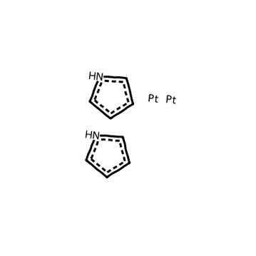 [Pt].[Pt].c1cc[nH]c1.c1cc[nH]c1